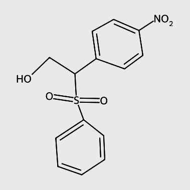 O=[N+]([O-])c1ccc(C(CO)S(=O)(=O)c2ccccc2)cc1